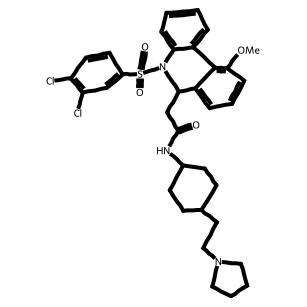 COc1cccc2c1-c1ccccc1N(S(=O)(=O)c1ccc(Cl)c(Cl)c1)C2CC(=O)NC1CCC(CCN2CCCC2)CC1